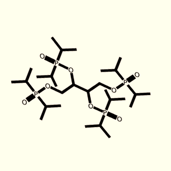 CC(C)P(=O)(OCC(OP(=O)(C(C)C)C(C)C)C(COP(=O)(C(C)C)C(C)C)OP(=O)(C(C)C)C(C)C)C(C)C